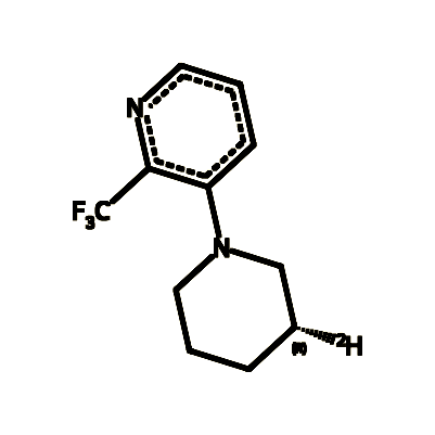 [2H][C@@H]1CCCN(c2cccnc2C(F)(F)F)C1